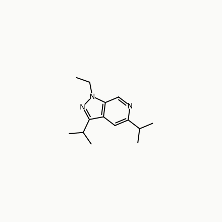 CCn1nc(C(C)C)c2cc(C(C)C)ncc21